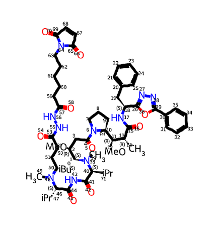 CC[C@H](C)[C@@H]([C@@H](CC(=O)N1CCC[C@H]1[C@H](OC)[C@@H](C)C(=O)N[C@@H](Cc1ccccc1)c1nnc(-c2ccccc2)o1)OC)N(C)[C@H](C(=O)NC(=O)[C@H](C(C)C)N(C)CCCC(=O)NNC(=O)CCCCCN1C(=O)C=CC1=O)C(C)C